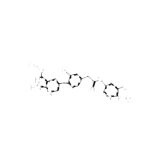 CCOc1n[nH]c2ncc(-c3ccc(CC(=O)Nc4cnc(OC)c(C(F)(F)F)c4)cc3F)cc12